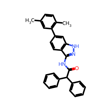 Cc1ccc(C)c(-c2ccc3c(NC(=O)C(c4ccccc4)c4ccccc4)n[nH]c3c2)c1